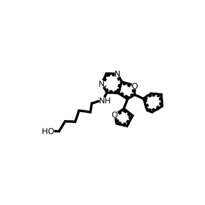 OCCCCCCNc1ncnc2oc(-c3ccccc3)c(-c3ccco3)c12